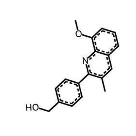 COc1cccc2cc(C)c(-c3ccc(CO)cc3)nc12